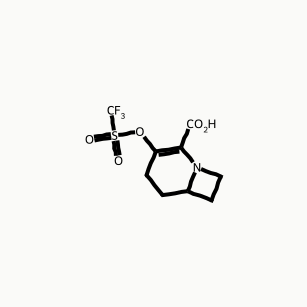 O=C(O)C1=C(OS(=O)(=O)C(F)(F)F)CCC2CCN12